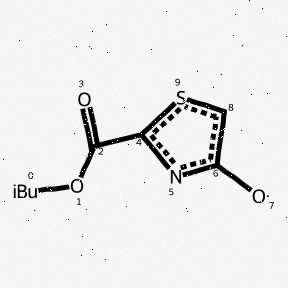 CCC(C)OC(=O)c1nc([O])cs1